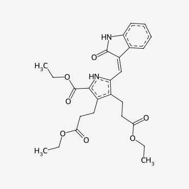 CCOC(=O)CCc1c(C=C2C(=O)Nc3ccccc32)[nH]c(C(=O)OCC)c1CCC(=O)OCC